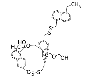 CCc1cccc2c(CSSCc3cc4c5c(COCO)cc(cc5c3)CSSCc3ccc5c(cccc5c3)C(C)(O)OC4)cccc12